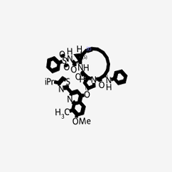 COc1ccc2c(O[C@@H]3C[C@H]4C(=O)N[C@]5(C(=O)NS(=O)(=O)c6ccccc6)C[C@H]5/C=C\CCCCC[C@H](Nc5ccccc5)C(=O)N4C3)cc(-c3nc(C(C)C)cs3)nc2c1C